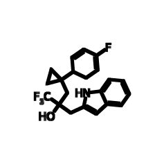 OC(Cc1cc2ccccc2[nH]1)(CC1(C2C=CC(F)=CC2)CC1)C(F)(F)F